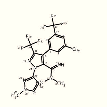 CN(C)C(=N)c1c(-c2cc(Cl)cc(C(F)(F)F)c2)c(C(F)(F)F)nn1-c1ccn(C)n1